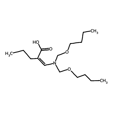 CCCCOCN(C=C(CCC)C(=O)O)COCCCC